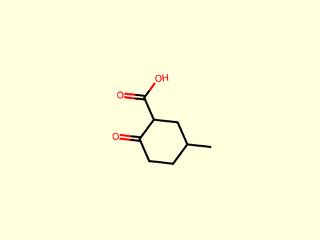 CC1CCC(=O)C(C(=O)O)C1